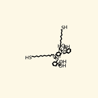 OBOc1ccccc1C[n+]1cn(CCCCCCCCCCCS)c2cc3c(cc21)[n+](Cc1ccccc1B(O)O)cn3CCCCCCCCCCCS